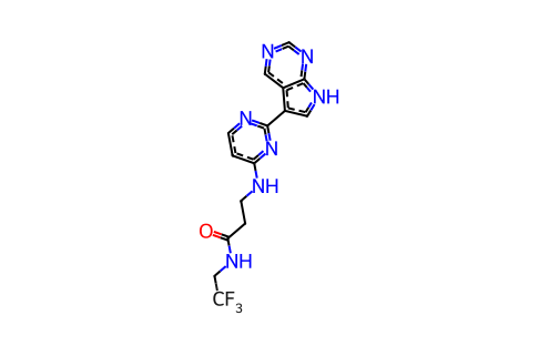 O=C(CCNc1ccnc(-c2c[nH]c3ncncc23)n1)NCC(F)(F)F